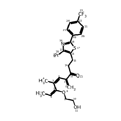 C=C(/C=C(C)\C(=C/C)OCCO)C(=O)CCc1sc(-c2ccc(C(F)(F)F)cc2)nc1C(C)C